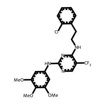 COc1cc(Nc2ncc(C(F)(F)F)c(NCCc3ccccc3Cl)n2)cc(OC)c1OC